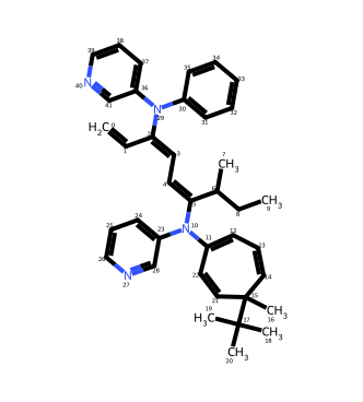 C=C/C(=C\C=C(/C(C)CC)N(C1=CC=CC(C)(C(C)(C)C)C=C1)c1cccnc1)N(c1ccccc1)c1cccnc1